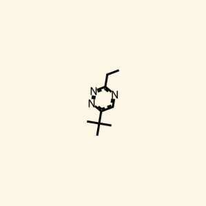 CCc1ncc(C(C)(C)C)nn1